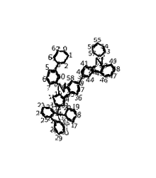 C1=CCC(c2cccc(-n3c4ccc(C5(c6ccccc6)c6ccccc6-c6ccccc65)cc4c4ccc(-c5ccc6c(c5)c5ccccc5n6C5C=CC=CC5)cc43)c2)C=C1